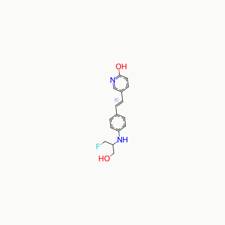 OCC(CF)Nc1ccc(/C=C/c2ccc(O)nc2)cc1